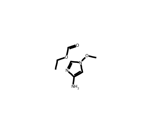 CCOC=O.COn1cnc(N)c1